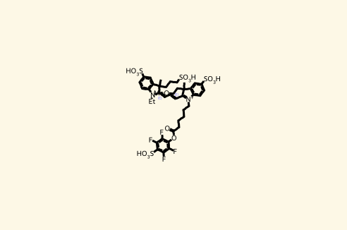 CCN1/C(=C/C=C/C2=[N+](CCCCCC(=O)Oc3c(F)c(F)c(S(=O)(=O)O)c(F)c3F)c3ccc(S(=O)(=O)O)cc3C2(C)CCOC)C(C)(CCCS(=O)(=O)O)c2cc(S(=O)(=O)O)ccc21